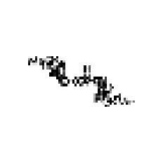 COC(=O)NC(C(=O)N1CCCC1c1nc2ccc(-c3cc4cc5[nH]c(-c6ccc7nc(C8CCCN8C(=O)C(NC(=O)OC)C(C)C)[nH]c7c6)cc5cc4[nH]3)cc2[nH]1)C(C)C